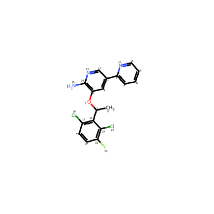 CC(Oc1cc(-c2ccccn2)cnc1N)c1c(Cl)ccc(F)c1Cl